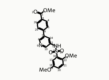 COC(=O)c1ccc(-c2cncc(NS(=O)(=O)c3cc(OC)ccc3OC)c2)cc1